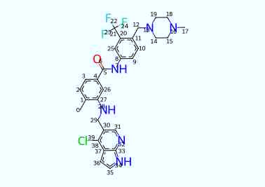 Cc1ccc(C(=O)Nc2ccc(CN3CCN(C)CC3)c(C(F)(F)F)c2)cc1NCc1cnc2[nH]ccc2c1Cl